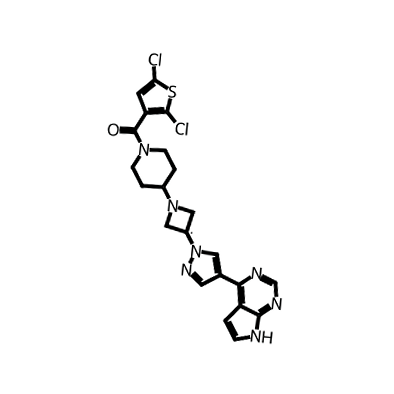 O=C(c1cc(Cl)sc1Cl)N1CCC(N2C[C](n3cc(-c4ncnc5[nH]ccc45)cn3)C2)CC1